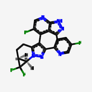 Cc1n[nH]c2ncc(F)c(-c3c(-c4ccc(F)cn4)nn4c3CC[C@H]3[C@@H]4C3(F)F)c12